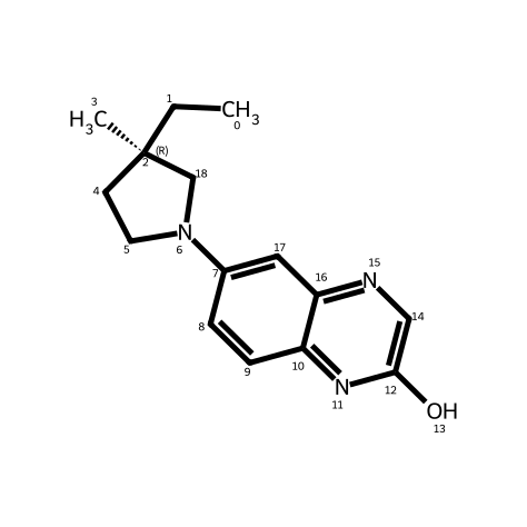 CC[C@]1(C)CCN(c2ccc3nc(O)cnc3c2)C1